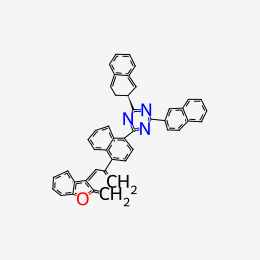 C=C(/C=c1\c(=C)oc2ccccc12)c1ccc(-c2nc(-c3ccc4ccccc4c3)nc([C@@H]3C=c4ccccc4=CC3)n2)c2ccccc12